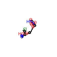 Cc1cc(-c2ccc(OCc3ccc(CCCCCOc4cccc5c4C(=O)N(C4CCC(=O)NC4=O)C5=O)cc3)c(-c3ccc(Cl)c(C)c3)c2O)n(C)n1